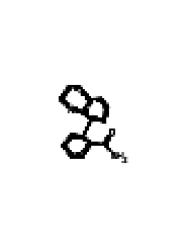 NC(=O)c1ccccc1-c1cccc2cccnc12